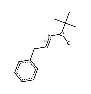 CC(C)(C)[S+]([O-])/N=C/Cc1ccccc1